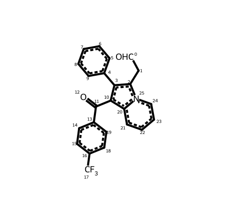 O=CCc1c(-c2ccccc2)c(C(=O)c2ccc(C(F)(F)F)cc2)c2ccccn12